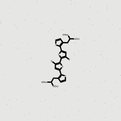 CCCCCCCCC(CCCCCC)Cc1ccsc1-c1cc(F)c(-c2sc(-c3sccc3CC(CCCCCC)CCCCCCCC)cc2F)s1